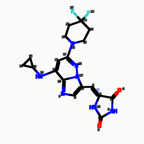 O=C1NC(=O)/C(=C/c2cnc3c(NC4CC4)cc(N4CCC(F)(F)CC4)nn23)N1